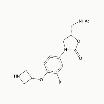 CC(=O)NC[C@H]1CN(c2ccc(OC3CNC3)c(F)c2)C(=O)O1